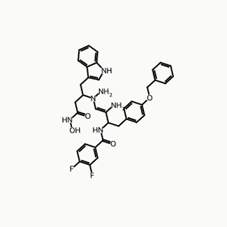 N/C(=C\N(N)C(CC(=O)NO)Cc1c[nH]c2ccccc12)C(Cc1ccc(OCc2ccccc2)cc1)NC(=O)c1ccc(F)c(F)c1